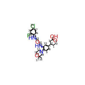 CCC(CC(=O)O)c1ccc(N2CCOC(C)(C)C2)c(NCOCNc2ccc(Cl)cc2F)c1